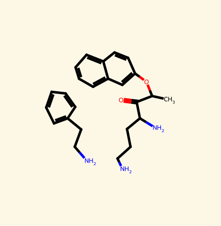 CC(Oc1ccc2ccccc2c1)C(=O)C(N)CCCN.NCCc1ccccc1